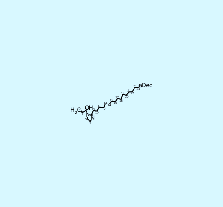 C=CC(O)N1CCN=C1CCCCCCCCCCCCCCCCCCCCCCCCCC